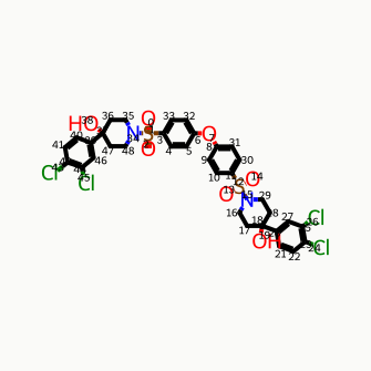 O=S(=O)(c1ccc(Oc2ccc(S(=O)(=O)N3CCC(O)(c4ccc(Cl)c(Cl)c4)CC3)cc2)cc1)N1CCC(O)(c2ccc(Cl)c(Cl)c2)CC1